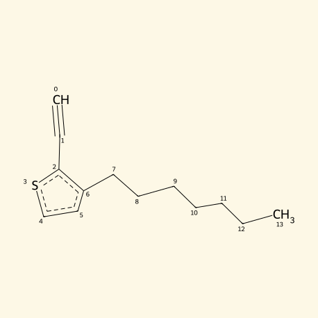 C#Cc1sccc1CCCCCCC